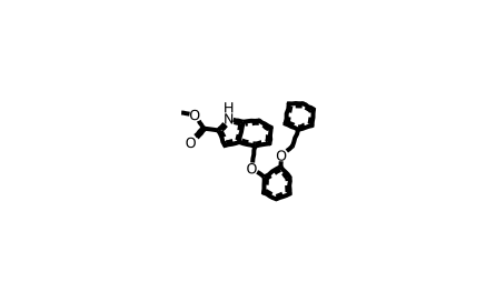 COC(=O)c1cc2c(Oc3ccccc3OCc3ccccc3)cccc2[nH]1